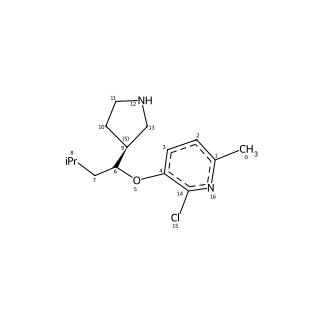 Cc1ccc(OC(CC(C)C)[C@H]2CCNC2)c(Cl)n1